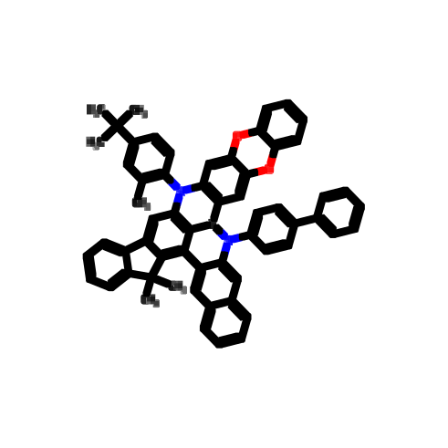 Cc1cc(C(C)(C)C)ccc1N1c2cc3c(cc2B2c4c1cc1c(c4-c4cc5ccccc5cc4N2c2ccc(-c4ccccc4)cc2)C(C)(C)c2ccccc2-1)Oc1ccccc1O3